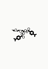 [CH2]COCCOC[C](OOC(=O)c1ccc(C(C)C)cc1)OOC(=O)c1ccc(C(C)C)cc1